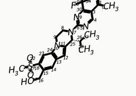 CC(=O)c1cnc(N2CCn3c(cc4cc(CO)c(S(C)(=O)=O)cc43)[C@H]2C(C)C)nc1C(F)(F)F